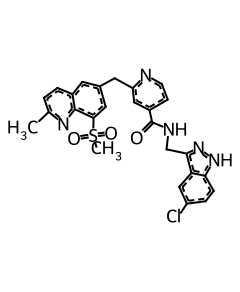 Cc1ccc2cc(Cc3cc(C(=O)NCc4n[nH]c5ccc(Cl)cc45)ccn3)cc(S(C)(=O)=O)c2n1